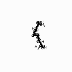 CCC1=C(Cc2occc2OCCOC(=O)NCCCC[C@H](N)C(=O)O)C=C(CCOC(=O)NCCCC[C@H](N)C(=O)O)C1